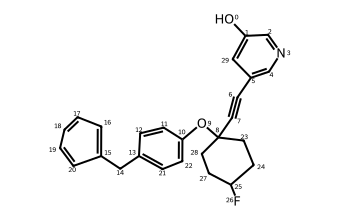 Oc1cncc(C#CC2(Oc3ccc(Cc4ccccc4)cc3)CCC(F)CC2)c1